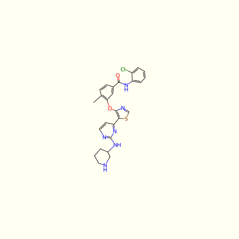 Cc1ccc(C(=O)Nc2ccccc2Cl)cc1Oc1ncsc1-c1ccnc(NC2CCCNC2)n1